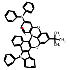 CC(C)(C)c1cc2c3c(c1)Oc1c(c4ccccc4c4c1c1ccccc1n4-c1ccccc1)B3c1c(cc(N(c3ccccc3)c3ccccc3)c3ccccc13)O2